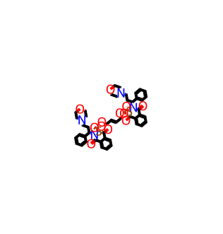 O=C(/C=C/C(=O)OC1c2ccccc2C(=O)N(C(CCN2CCOCC2)c2ccccc2)S1(=O)=O)OC1c2ccccc2C(=O)N(C(CCN2CCOCC2)c2ccccc2)S1(=O)=O